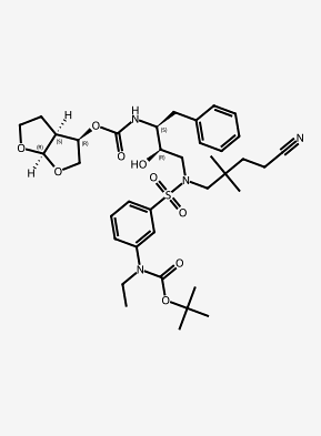 CCN(C(=O)OC(C)(C)C)c1cccc(S(=O)(=O)N(C[C@@H](O)[C@H](Cc2ccccc2)NC(=O)O[C@H]2CO[C@H]3OCC[C@H]32)CC(C)(C)CCC#N)c1